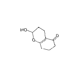 O=C1CCCC2=C1CCC(O)O2